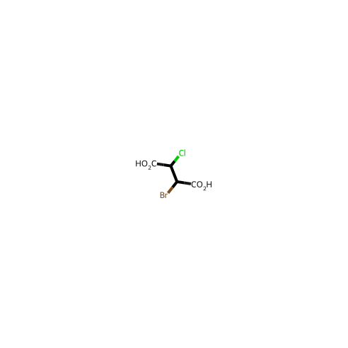 O=C(O)C(Cl)C(Br)C(=O)O